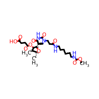 CC[C@H]1O[C@@H](c2cn(CCC(=O)NCCCCCCNC(=O)OC)c(=O)[nH]c2=O)C(OC(=O)CCC(=O)O)[C@H]1C